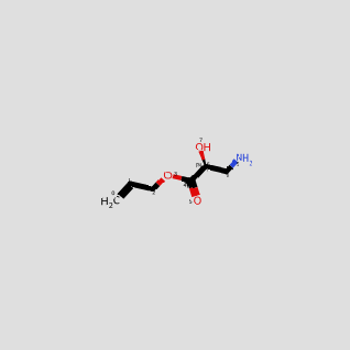 C=CCOC(=O)[C@@H](O)CN